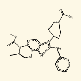 COC(=O)N1c2ccc3c(nc(Nc4ccccc4)n3C3CCC(C(=O)O)CC3)c2CCC1C